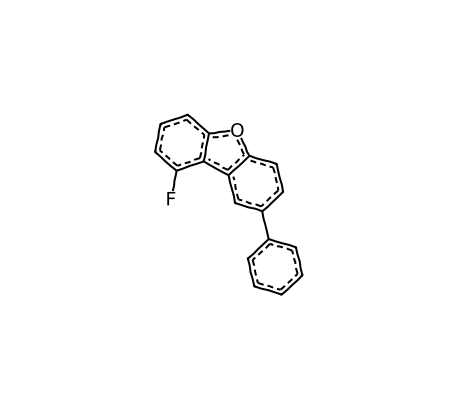 Fc1cccc2oc3ccc(-c4ccccc4)cc3c12